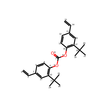 C=Cc1ccc(OC(=O)Oc2ccc(C=C)cc2C(C)(C)C)c(C(C)(C)C)c1